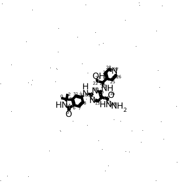 CC1(C)NC(=O)c2ccc(Nc3ncc(C(=O)NN)c(NC(CO)c4ccncc4)n3)cc21